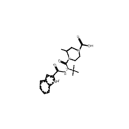 CC1CN(C(=O)O)CCN1C(=O)[C@@H](NC(=O)c1cc2ccccc2[nH]1)C(C)(C)C